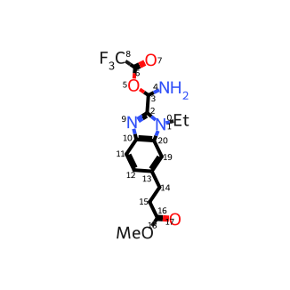 CCn1c(C(N)OC(=O)C(F)(F)F)nc2ccc(CCC(=O)OC)cc21